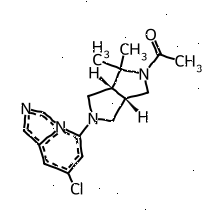 CC(=O)N1C[C@@H]2CN(c3cc(Cl)cc4cncn34)C[C@@H]2C1(C)C